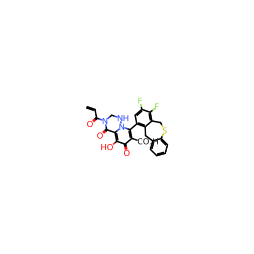 C=CC(=O)N1CNn2c(c(O)c(=O)c(C(=O)O)c2-c2cc(F)c(F)c3c2Cc2ccccc2SC3)C1=O